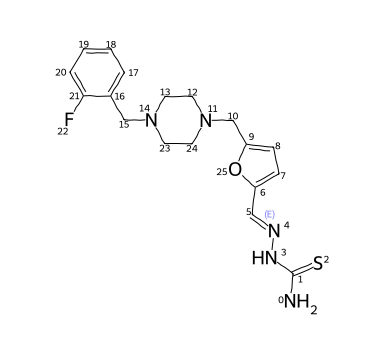 NC(=S)N/N=C/c1ccc(CN2CCN(Cc3ccccc3F)CC2)o1